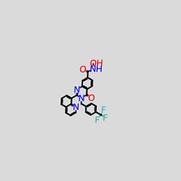 O=C(NO)c1ccc2c(=O)n(Cc3ccc(C(F)(F)F)cc3)c(-c3cccc4cccnc34)nc2c1